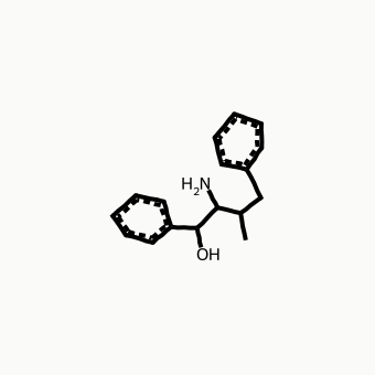 CC(Cc1ccccc1)C(N)C(O)c1ccccc1